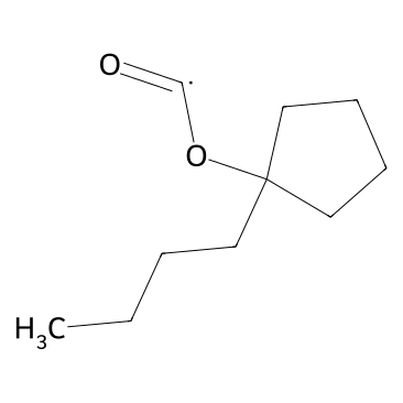 CCCCC1(O[C]=O)CCCC1